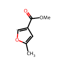 COC(=O)c1[c]oc(C)c1